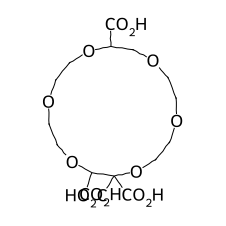 O=C(O)C1COCCOCCOC(C(=O)O)(C(=O)O)C(C(=O)O)OCCOCCO1